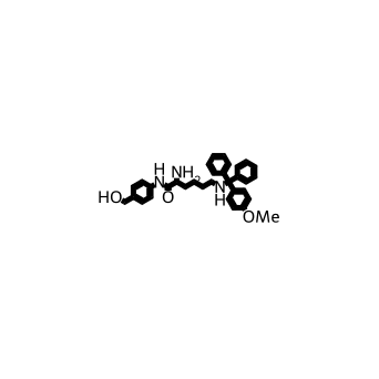 COc1ccc(C(NCCCCC(N)C(=O)Nc2ccc(CO)cc2)(c2ccccc2)c2ccccc2)cc1